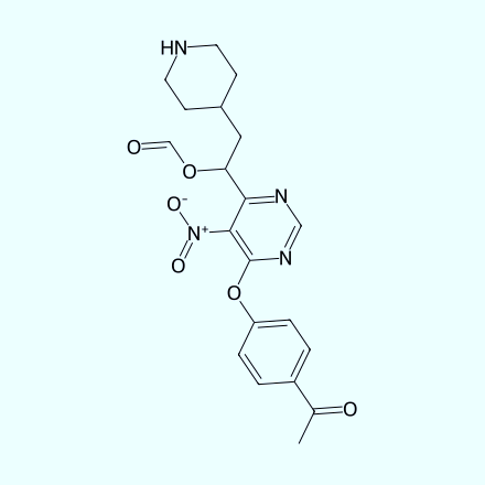 CC(=O)c1ccc(Oc2ncnc(C(CC3CCNCC3)OC=O)c2[N+](=O)[O-])cc1